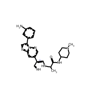 CC(N/C=C(\C=N)c1cnn2c(-c3cccc(N)c3)cnc2c1)C(=O)NC1CCN(C)CC1